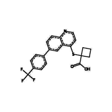 O=C(O)C1(Sc2ccnc3ccc(-c4ccc(C(F)(F)F)cc4)cc23)CCC1